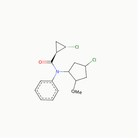 COC1CC(Cl)CC1N(C(=O)[C@H]1C[C@@H]1Cl)c1ccccc1